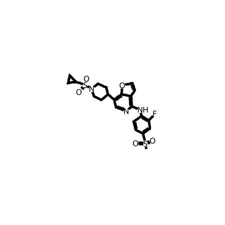 CS(=O)(=O)c1ccc(Nc2ncc(C3CCN(S(=O)(=O)C4CC4)CC3)c3occc23)c(F)c1